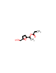 C=CC(=O)OC(=C)c1ccc(CO)o1